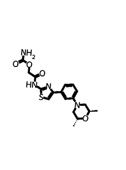 C[C@@H]1CN(c2cccc(-c3csc(NC(=O)COC(N)=O)n3)c2)C[C@@H](C)O1